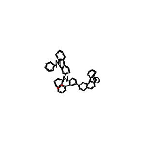 c1ccc(-c2cc(-c3ccc4ccc5oc6ccccc6c5c4c3)ccc2N(c2ccccc2)c2ccc3c4ccccc4n(-c4ccccc4)c3c2)cc1